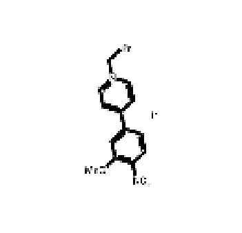 COc1cc(-c2cc[n+](CC(C)C)cc2)ccc1[N+](=O)[O-].[I-]